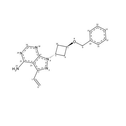 C=Cc1nn([C@H]2C[C@H](OCc3ccccc3)C2)c2ncnc(N)c12